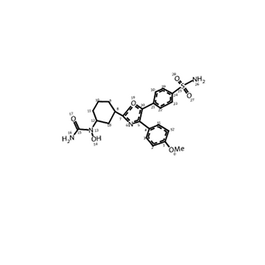 COc1ccc(-c2nc(C3CCCC(N(O)C(N)=O)C3)oc2-c2ccc(S(N)(=O)=O)cc2)cc1